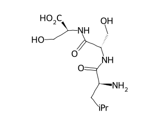 CC(C)C[C@H](N)C(=O)N[C@@H](CO)C(=O)N[C@@H](CO)C(=O)O